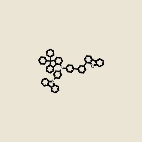 c1ccc(C2(c3ccccc3)c3ccccc3-c3c(N(c4ccc(-c5cccc(-c6cccc7c6oc6ccccc67)c5)cc4)c4ccc(-n5c6ccccc6c6ccccc65)cc4)cccc32)cc1